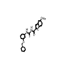 COc1ccc2oc(C(=O)NC(=S)Nc3cccc(OCc4ccccc4)c3)cc2c1